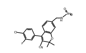 CC1(C)Oc2cc(CN[SH](=O)=O)ccc2C(c2ccc(Cl)c(F)c2)=C1C#N